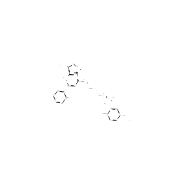 COc1ccc(OC)c(S(=O)(=O)NCCCNc2cc(-c3ccccc3Cl)nc3c(Br)cnn23)c1